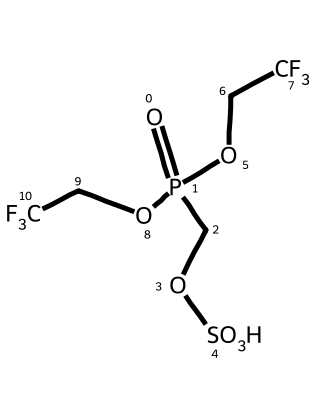 O=P(COS(=O)(=O)O)(OCC(F)(F)F)OCC(F)(F)F